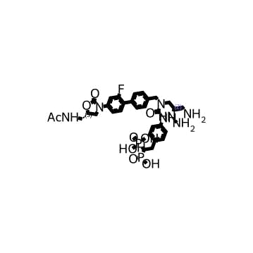 CC(=O)NC[C@H]1CN(c2ccc(-c3ccc(CN(C/C(=C/N)NN)C(=O)Nc4ccc(CC([PH](=O)O)P(=O)(O)O)cc4)cc3)c(F)c2)C(=O)O1